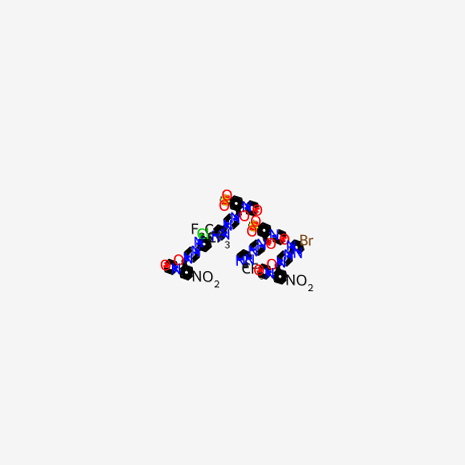 CS(=O)(=O)c1ccc(N2CCOCC2)c(C(=O)N2CCN(c3cc(C(F)(F)F)ncn3)CC2)c1.CS(=O)(=O)c1ccc(N2CCOCC2)c(C(=O)N2CCN(c3ccnc(C(F)(F)F)n3)CC2)c1.O=C(c1cc([N+](=O)[O-])ccc1N1CCOCC1)N1CCN(c2ccc(C(F)(F)F)c(Cl)n2)CC1.O=C(c1cc([N+](=O)[O-])ccc1N1CCOCC1)N1CCN(c2ncc(Br)cn2)CC1